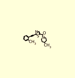 Cc1ccccc1C#Cc1ncc(C(=O)N2CCC(C)CC2)s1